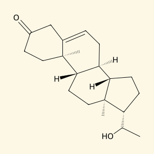 CC(O)[C@H]1CC[C@H]2[C@@H]3CC=C4CC(=O)CC[C@]4(C)[C@H]3CC[C@]12C